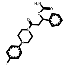 NC(=O)OC(CC(=O)N1CCN(c2ccc(F)cc2)CC1)c1ccccc1